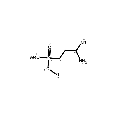 CCOP(=O)(CCC(N)C#N)OC